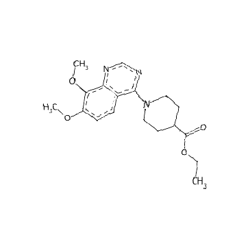 CCOC(=O)C1CCN(c2ncnc3c(OC)c(OC)ccc23)CC1